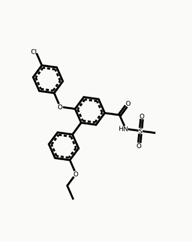 CCOc1cccc(-c2cc(C(=O)NS(C)(=O)=O)ccc2Oc2ccc(Cl)cc2)c1